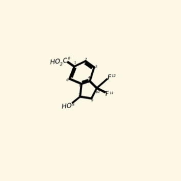 O=C(O)c1ccc2c(c1)C(O)CC2(F)F